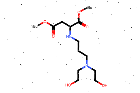 CCC(C)OC(=O)CC(NCCCN(CCO)CCO)C(=O)OC(C)CC